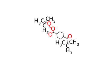 CC(C)(C)OCOC(=O)C1CCC(C(=O)C(C)(C)C)CC1